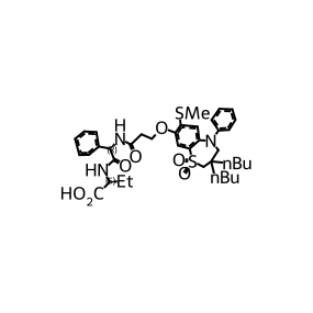 CCCCC1(CCCC)CN(c2ccccc2)c2cc(SC)c(OCCC(=O)N[C@@H](C(=O)N[C@@H](CC)C(=O)O)c3ccccc3)cc2S(=O)(=O)C1